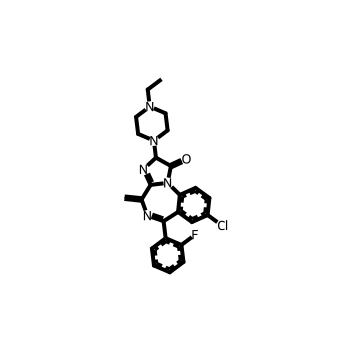 C=C1N=C(c2ccccc2F)c2cc(Cl)ccc2N2C(=O)C(N3CCN(CC)CC3)N=C12